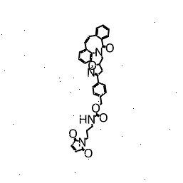 O=C(NCCCN1C(=O)C=CC1=O)OCc1ccc(C2=NOC(CN3C(=O)c4ccccc4/C=C\c4ccccc43)C2)cc1